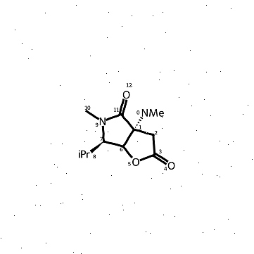 CN[C@]12CC(=O)OC1[C@@H](C(C)C)N(C)C2=O